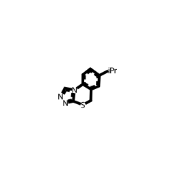 CC(C)c1ccc2c(c1)CSc1nncn1-2